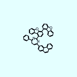 C1=C(c2ccc3ccc4ccccc4c3c2)N=C(c2ccc(-c3cccc4oc5ccccc5c34)c3oc4ccccc4c23)N=C(c2ccccc2)C1